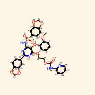 COc1ccccc1Oc1c(NS(=O)(=O)c2ccc3c(c2)OCO3)nc(-c2ccc3c(c2)OCO3)nc1OCCOC(=O)Nc1ccccn1